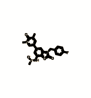 Cc1cc(-c2cc(N[S+](C)[O-])c3oc(=O)n(Cc4ccc(F)cc4)c3c2)cn(C)c1=O